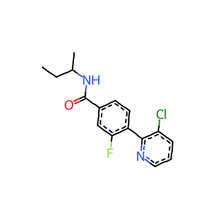 CCC(C)NC(=O)c1ccc(-c2ncccc2Cl)c(F)c1